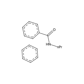 CCCNC(=O)c1ccccc1.c1ccccc1